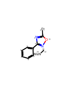 CCc1nc(-c2ccccc2)no1.CNC